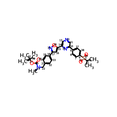 CC(C)S(=O)(=O)c1ccc(-c2cncc(-c3cc(-c4ccc(CN(C)C(=O)OC(C)(C)C)cc4)no3)n2)cc1